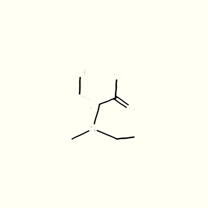 CCN(C)[C@H](CO)C(=O)O